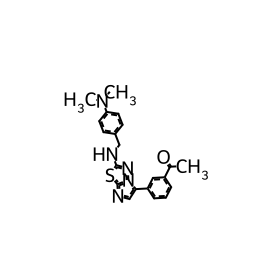 CC(=O)c1cccc(-c2cnc3sc(NCc4ccc(N(C)C)cc4)nn23)c1